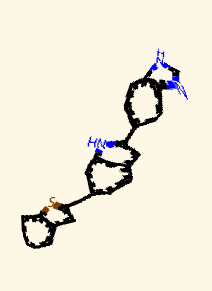 c1ccc2sc(-c3ccc4cc(-c5ccc6[nH]cnc6c5)[nH]c4c3)cc2c1